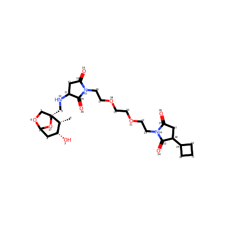 C[C@@H]1[C@H](O)CC2OC[C@]1(CNC1CC(=O)N(CCOCCOCCN3C(=O)CC(C4CCC4)C3=O)C1=O)O2